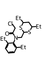 CCc1cccc(CC)c1N(CC1SC(CC)CC(CC)S1)C(=O)CCl